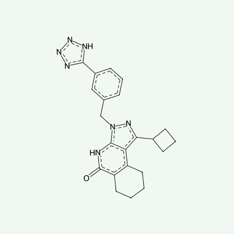 O=c1[nH]c2c(c(C3CCC3)nn2Cc2cccc(-c3nnn[nH]3)c2)c2c1CCCC2